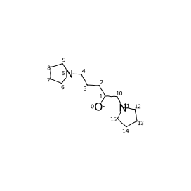 [O]C(CCCN1CCCC1)CN1CCCC1